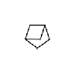 [C]1CC2CC1C2